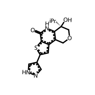 CC(C)[C@]1(O)COCc2c1[nH]c(=O)c1sc(-c3cn[nH]c3)cc21